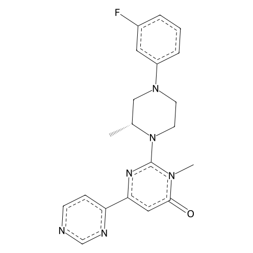 C[C@@H]1CN(c2cccc(F)c2)CCN1c1nc(-c2ccncn2)cc(=O)n1C